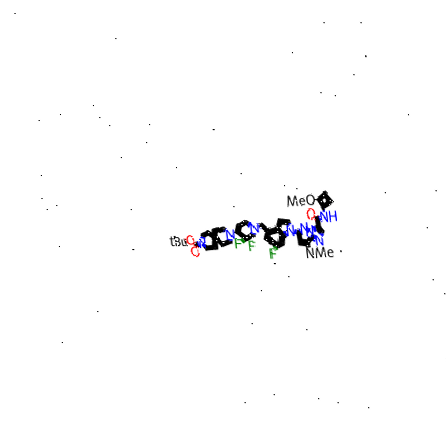 CNc1cc(N2CCc3c(CN4CC[C@@H](N5CCC6(CCN(C(=O)OC(C)(C)C)CC6)CC5)C(F)(F)C4)cc(F)cc32)nn2c(C(=O)N[C@@H]3CC[C@H]3OC)cnc12